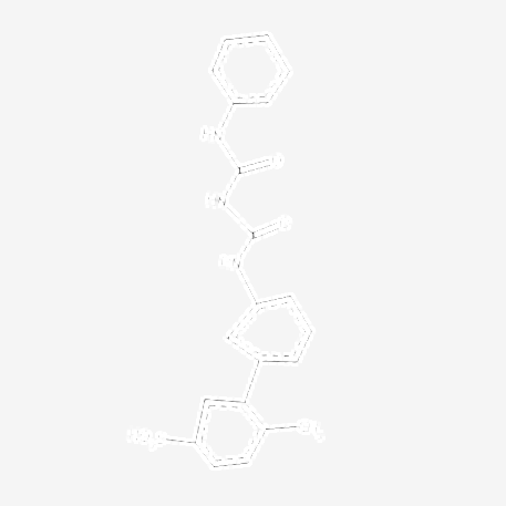 Cc1ccc(S(=O)(=O)O)cc1-c1cccc(NC(=O)NC(=O)Nc2ccccc2)c1